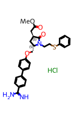 COC(=O)C[C@@H]1C[C@@H](COc2ccc(-c3ccc(C(=N)N)cc3)cc2)N(CCSc2ccccc2)C1=O.Cl